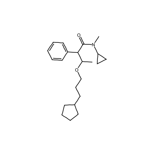 CC(OCCCC1CCCC1)C(C(=O)N(C)C1CC1)c1ccccc1